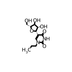 CCCn1cc([C@@H]2O[C@H](CO)C(O)[C@@H]2O)c(=O)[nH]c1=O